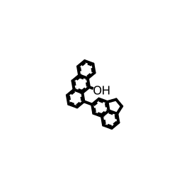 Oc1c2ccccc2cc2cccc(-c3cc4c5c(cccc5c3)CC4)c12